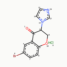 Cl.O=C1c2cc(Br)ccc2OCC1n1ccnc1